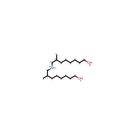 CC(CCCCCCO)CNCC(C)CCCCCCO